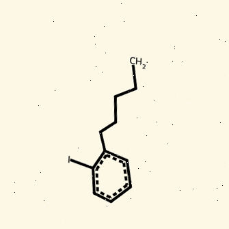 [CH2]CCCCc1ccccc1I